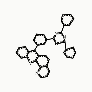 c1ccc(-c2nc(-c3ccccc3)nc(-c3cccc(-c4c5ccccc5nc5c4ccc4cccnc45)c3)n2)cc1